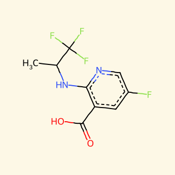 CC(Nc1ncc(F)cc1C(=O)O)C(F)(F)F